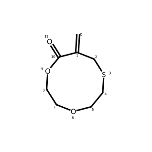 C=C1CSCCOCCOC1=O